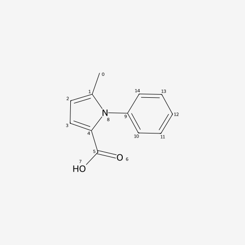 Cc1ccc(C(=O)O)n1-c1ccccc1